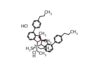 CCCc1ccc(-c2cccc3c2C=C(C)[CH]3[Zr](=[SiH2])([CH2]C)([CH2]C)[CH]2C(CC)=Cc3c(-c4ccc(CCC)cc4)cccc32)cc1.Cl.Cl